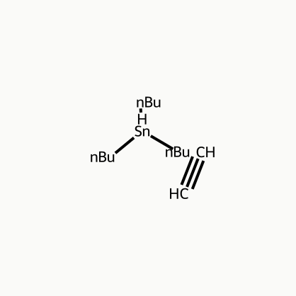 C#C.CCC[CH2][SnH]([CH2]CCC)[CH2]CCC